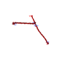 O=C(O)CCOCCOCCOCCOCCNC(=O)[C@H](CCCCNC(=O)CCOCCOCCOCCOCCOCCOCCOCCOCCOCCOCCOCCOCCNC(=O)CCN1C(=O)C=CC1=O)NC(=O)CCOCCOCCOCCOCCOCCOCCOCCOCCOCCOCCOCCOCCNC(=O)CCN1C(=O)C=CC1=O